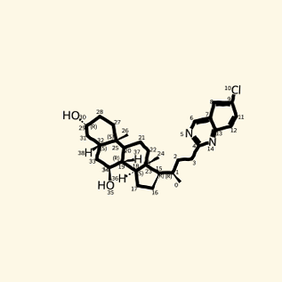 C[C@H](CCc1ncc2cc(Cl)ccc2n1)[C@H]1CC[C@H]2[C@H]3C(CC[C@]12C)[C@@]1(C)CC[C@@H](O)C[C@H]1C[C@@H]3O